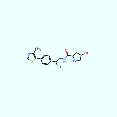 Cc1ncsc1-c1ccc([C@H](C)CNC(=O)C2CC(O)CN2)cc1